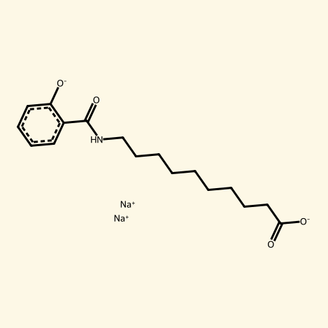 O=C([O-])CCCCCCCCCNC(=O)c1ccccc1[O-].[Na+].[Na+]